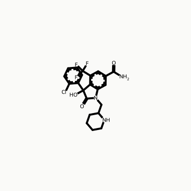 NC(=O)c1cc2c(c(C(F)(F)F)c1)C(O)(c1ccccc1Cl)C(=O)N2CC1CCCCN1